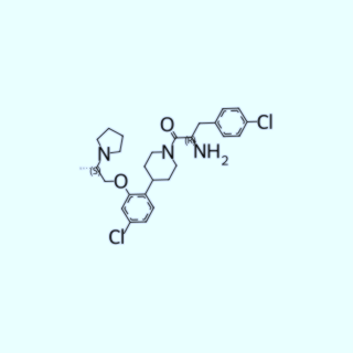 C[C@@H](COc1cc(Cl)ccc1C1CCN(C(=O)[C@H](N)Cc2ccc(Cl)cc2)CC1)N1CCCC1